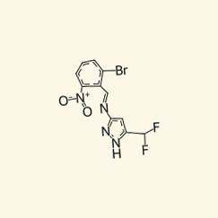 O=[N+]([O-])c1cccc(Br)c1/C=N/c1cc(C(F)F)[nH]n1